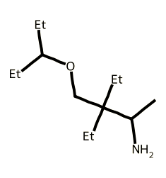 CCC(CC)OCC(CC)(CC)C(C)N